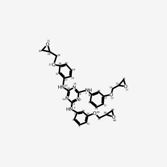 c1cc(Nc2nc(Nc3cccc(OCC4CO4)c3)nc(Nc3cccc(OCC4CO4)c3)n2)cc(OCC2CO2)c1